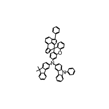 CC1(C)c2ccccc2-c2cc(N(c3ccc4c(c3)Oc3ccccc3C43c4ccccc4-c4cccc5c(-c6ccccc6)ccc3c45)c3ccc4c(c3)c3ccccc3n4-c3ccccc3)ccc21